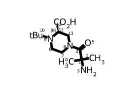 CC(C)(N)C(=O)N1CCN(C(C)(C)C)[C@@H](C(=O)O)C1